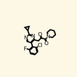 O=C(Cc1nc(C2CC2)ncc1-c1c(F)cccc1Cl)C(=O)N1CCCCC1